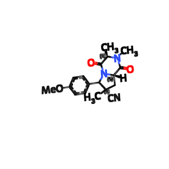 COc1ccc(C2N3C(=O)[C@@H](C)N(C)C(=O)[C@@H]3C[C@]2(C)C#N)cc1